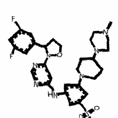 CN1CCN(C2CCN(c3cc(Nc4cc(N5OCCC5c5cc(F)cc(F)c5)ncn4)cc(S(C)(=O)=O)c3)CC2)CC1